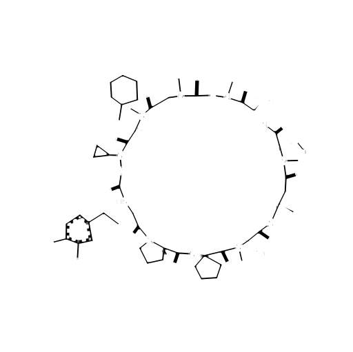 CC[C@H](C)[C@@H]1NC(=O)[C@H](CC(C)C)N(C)C(=O)C[C@@H](C)NC(=O)[C@H](C(C)C)N(C)C(=O)C2(CCCC2)NC(=O)[C@@H]2CCCN2C(=O)[C@H](CCc2ccc(C(F)(F)F)c(Cl)c2)NC(=O)CN(C2CC2)C(=O)[C@H](CC2CCCCC2)N(C)C(=O)CN(C)C(=O)CN(C)C1=O